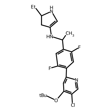 CCC1CC(NC(C)c2cc(F)c(-c3cc(OC(C)(C)C)c(Cl)cn3)cc2F)=CN1